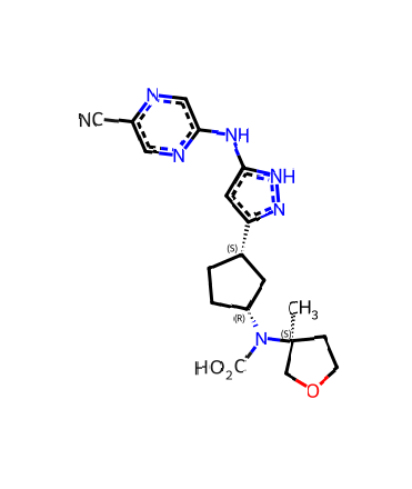 C[C@]1(N(C(=O)O)[C@@H]2CC[C@H](c3cc(Nc4cnc(C#N)cn4)[nH]n3)C2)CCOC1